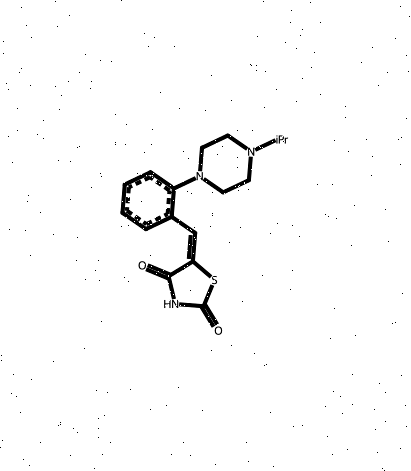 CC(C)N1CCN(c2ccccc2C=C2SC(=O)NC2=O)CC1